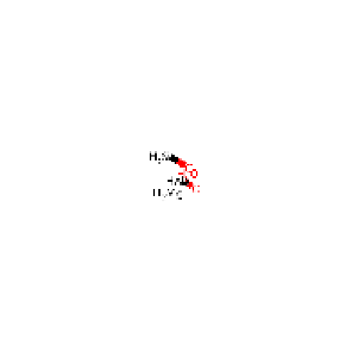 O.O=[SiH2].[MgH2].[O]=[AlH]